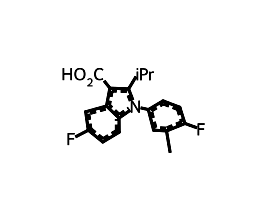 Cc1cc(-n2c(C(C)C)c(C(=O)O)c3cc(F)ccc32)ccc1F